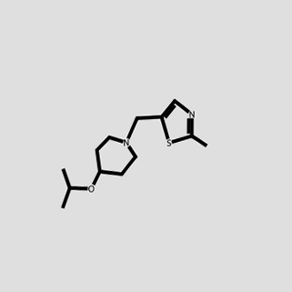 Cc1ncc(CN2CCC(OC(C)C)CC2)s1